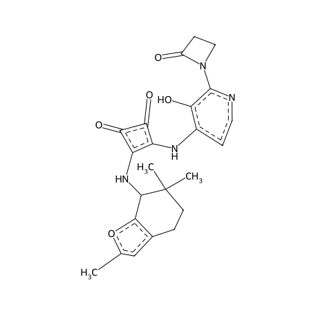 Cc1cc2c(o1)C(Nc1c(Nc3ccnc(N4CCC4=O)c3O)c(=O)c1=O)C(C)(C)CC2